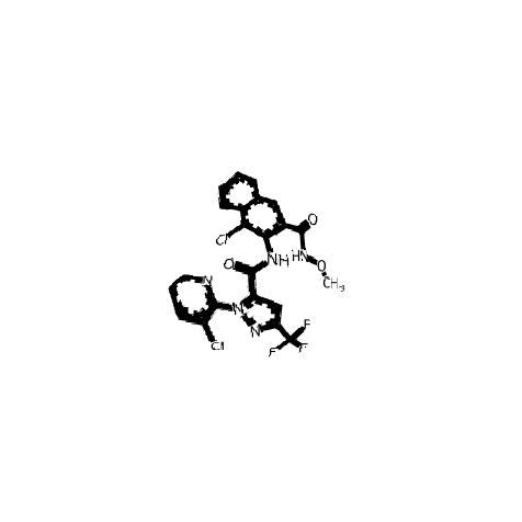 CONC(=O)c1cc2ccccc2c(Cl)c1NC(=O)c1cc(C(F)(F)F)nn1-c1ncccc1Cl